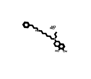 CCCN(CCCCCCNCCCc1ccccc1)C1CCc2c(ccc(O)c2O)C1.Cl.Cl